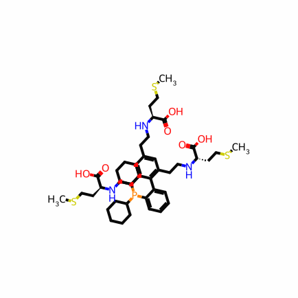 CSCC[C@H](NCCc1cc(CCN[C@@H](CCSC)C(=O)O)c(-c2ccccc2P(C2CCCCC2)C2CCCCC2)c(CCN[C@@H](CCSC)C(=O)O)c1)C(=O)O